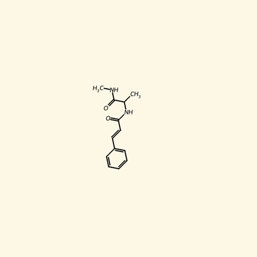 CNC(=O)C(C)NC(=O)/C=C/c1ccccc1